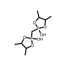 CC1O[P](O)(C[P]2(O)OC(C)C(C)O2)OC1C